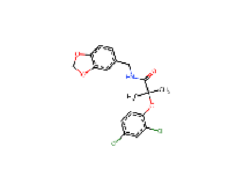 CC(C)(Oc1ccc(Cl)cc1Cl)C(=O)NCc1ccc2c(c1)OCO2